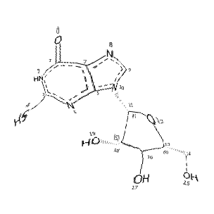 O=c1[nH]c(S)nc2c1ncn2[C@@H]1O[C@H](CO)C(O)[C@@H]1O